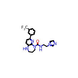 O=C(NCCn1ccnc1)N1CCCNc2ccc(-c3cccc(C(F)(F)F)c3)nc21